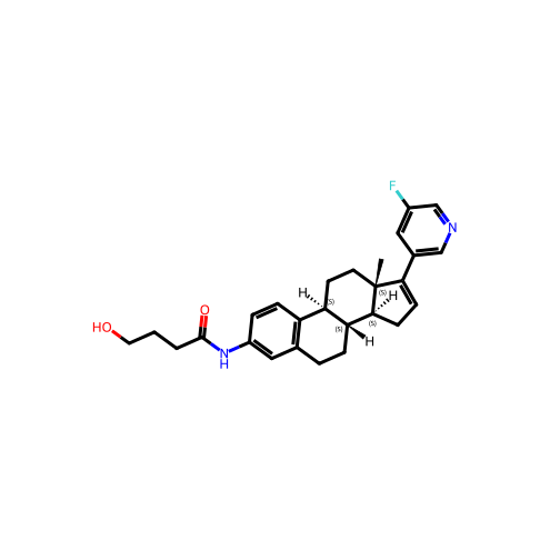 C[C@]12CC[C@@H]3c4ccc(NC(=O)CCCO)cc4CC[C@H]3[C@@H]1CC=C2c1cncc(F)c1